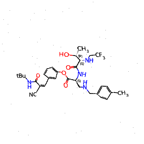 Cc1ccc(CNC[C@H](NC(=O)[C@@H](NCC(F)(F)F)[C@@H](C)O)C(=O)Oc2cccc(C=C(C#N)C(=O)NC(C)(C)C)c2)cc1